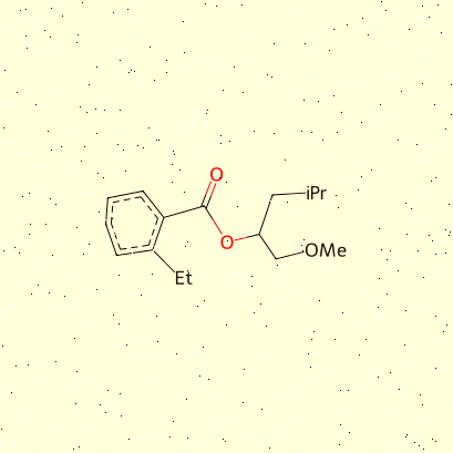 CCc1ccccc1C(=O)OC(COC)CC(C)C